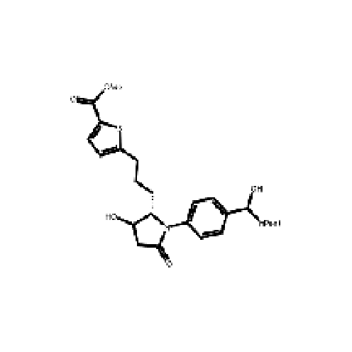 CCCCCC(O)c1ccc(N2C(=O)CC(O)[C@@H]2CCCc2ccc(C(=O)OC)s2)cc1